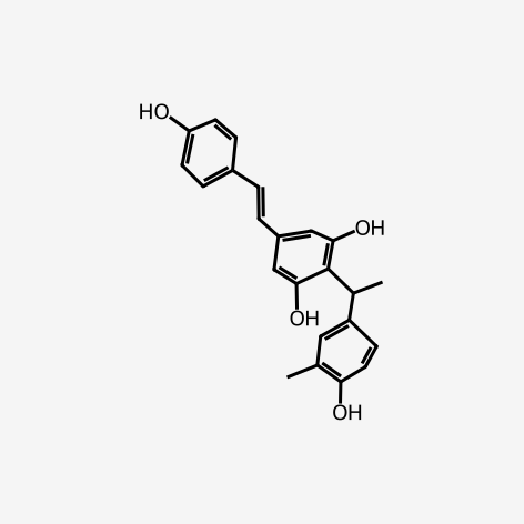 Cc1cc(C(C)c2c(O)cc(/C=C/c3ccc(O)cc3)cc2O)ccc1O